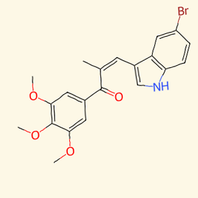 COc1cc(C(=O)C(C)=Cc2c[nH]c3ccc(Br)cc23)cc(OC)c1OC